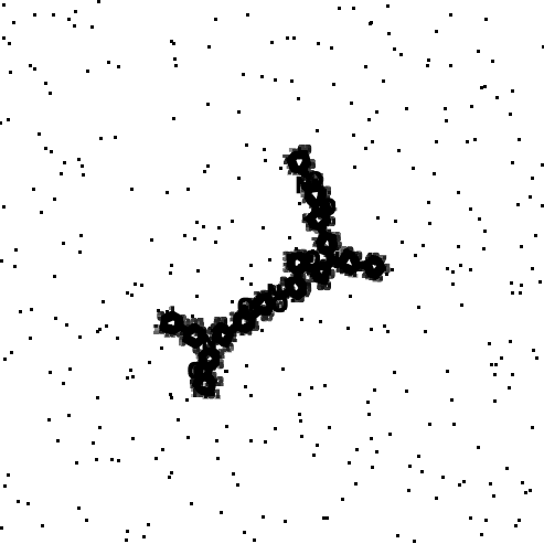 c1ccc(-c2ccc(N(c3ccc(-c4ccc5c(c4)oc4cc6nc(-c7cccc(-c8cccc9oc%10c(N(c%11ccc(-c%12ccccc%12)cc%11)c%11ccc(-c%12ccc%13c(c%12)oc%12cc%14oc(-c%15ccccc%15)nc%14cc%12%13)cc%11)cccc%10c89)c7)oc6cc45)cc3)c3ccc4c(c3)oc3ccccc34)cc2)cc1